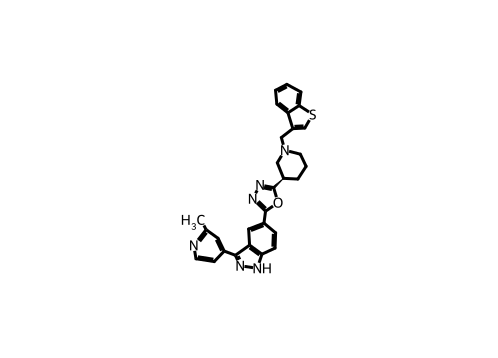 Cc1cc(-c2n[nH]c3ccc(-c4nnc([C@@H]5CCCN(Cc6csc7ccccc67)C5)o4)cc23)ccn1